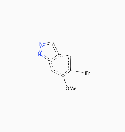 COc1cc2[nH]ncc2cc1C(C)C